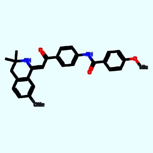 CCCCOc1ccc(C(=O)Nc2ccc(C(=O)/C=C3\NC(C)(C)Cc4ccc(OC)cc43)cc2)cc1